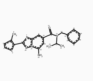 Cc1ccsc1-c1nc2cc(C(=O)N(Cc3ccccc3)C(C)C)cc(N)n2n1